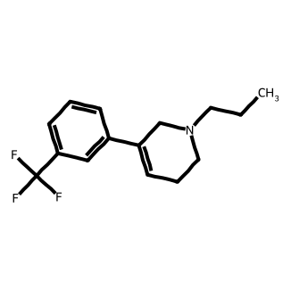 CCCN1CCC=C(c2cccc(C(F)(F)F)c2)C1